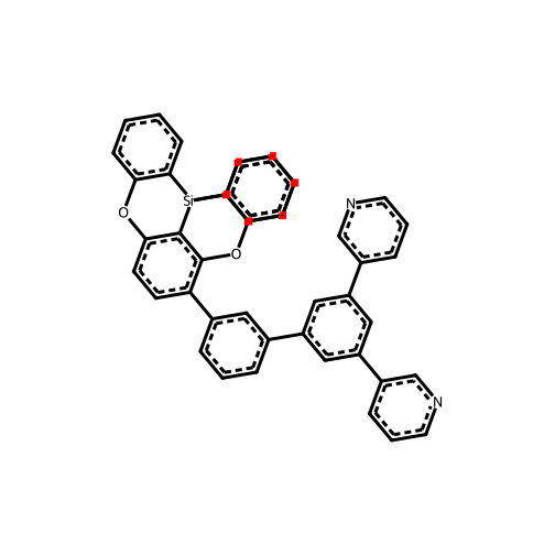 c1ccc([Si]23c4ccccc4Oc4ccc(-c5cccc(-c6cc(-c7cccnc7)cc(-c7cccnc7)c6)c5)c(c42)Oc2ccccc23)cc1